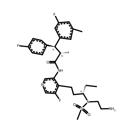 CC[C@@H](CCc1c(F)cncc1NC(=O)[C@@H](C)[C@@H](c1ccc(F)cc1)c1cc(C)cc(F)c1)N(CCN)S(C)(=O)=O